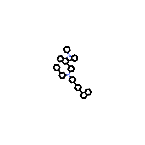 C1=CCC(c2cccc(N(c3ccc(-c4ccc(-c5cccc6ccccc56)cc4)cc3)c3cccc(-c4cc5ccccc5c5c4c4ccccc4n5C4C=CC=CC4)c3)c2)C=C1